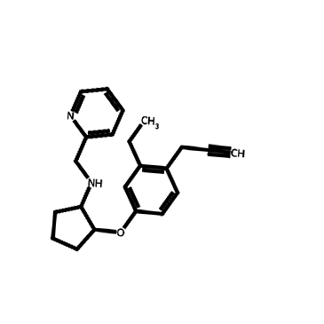 C#CCc1ccc(OC2CCCC2NCc2ccccn2)cc1CC